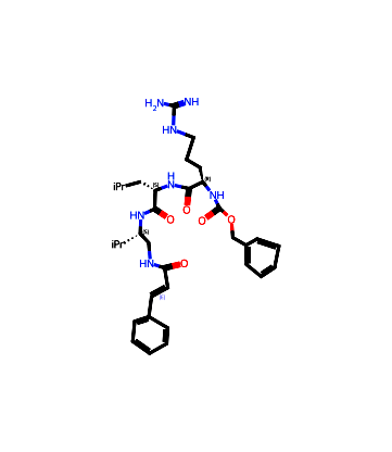 CC(C)C[C@H](NC(=O)[C@@H](CCCNC(=N)N)NC(=O)OCc1ccccc1)C(=O)N[C@H](CNC(=O)/C=C/c1ccccc1)C(C)C